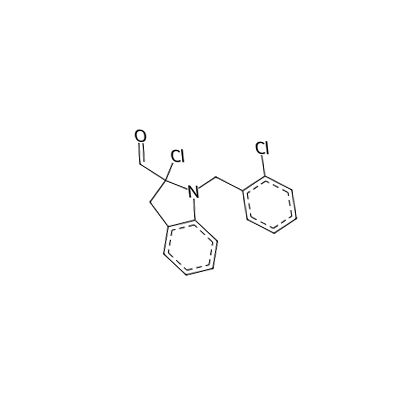 O=CC1(Cl)Cc2ccccc2N1Cc1ccccc1Cl